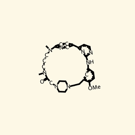 COc1ccc2cc1CN1CCN(CC1)CC(=O)N(C)CCCN(C)c1ccc(cn1)-c1ccnc(n1)N2